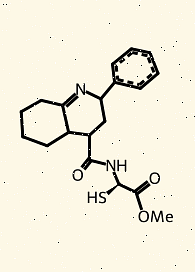 COC(=O)[C@@H](S)NC(=O)C1CC(c2ccccc2)N=C2CCCCC21